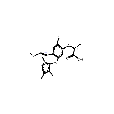 CO/N=C/c1cc(Cl)c(O[C@@H](C)C(=O)O)cc1Oc1c(C)c(C)nn1C